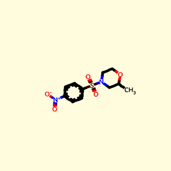 CC1CN(S(=O)(=O)c2ccc([N+](=O)[O-])cc2)CCO1